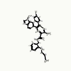 Cn1cnc2ccc(-c3nc(C(=O)NCc4ncccc4NCCO)c(N)nc3-c3ccc(F)cc3)cc21